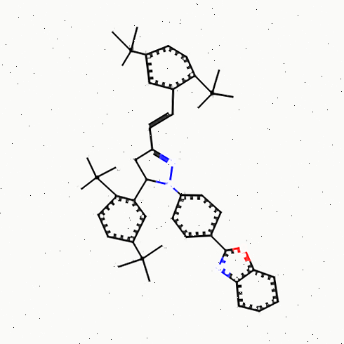 CC(C)(C)c1ccc(C(C)(C)C)c(C=CC2=NN(c3ccc(-c4nc5ccccc5o4)cc3)C(c3cc(C(C)(C)C)ccc3C(C)(C)C)C2)c1